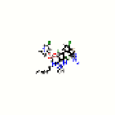 CNCCCN1C=C(OC[C@@]23CCCN2C[C@H](F)C3)Oc2c(F)c(-c3ccc(F)c4sc(N)c(C#N)c34)c(Cl)c3c2=C1N(CC#N)CN=3